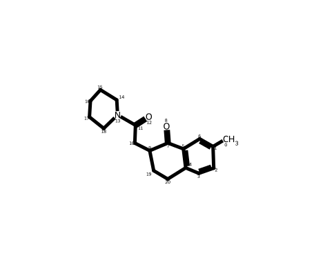 Cc1ccc2c(c1)C(=O)C(CC(=O)N1CCCCC1)CC2